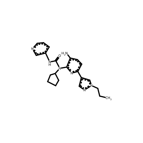 CCCn1cc(-c2ccc(N)c(N(C(=O)Nc3cccnc3)C3CCCC3)n2)cn1